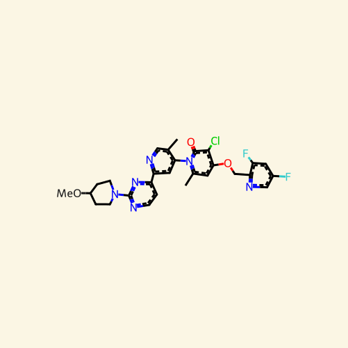 COC1CCN(c2nccc(-c3cc(-n4c(C)cc(OCc5ncc(F)cc5F)c(Cl)c4=O)c(C)cn3)n2)CC1